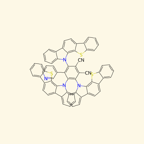 N#Cc1c(C#N)c(-n2c3ccccc3c3ccc4c5ccccc5sc4c32)c(-n2c3ccccc3c3ccc4c5ccccc5sc4c32)c(-c2cccnc2)c1-n1c2ccccc2c2ccc3c4ccccc4sc3c21